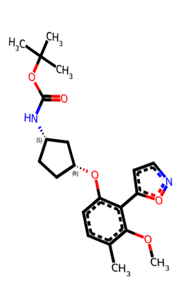 COc1c(C)ccc(O[C@@H]2CC[C@H](NC(=O)OC(C)(C)C)C2)c1-c1ccno1